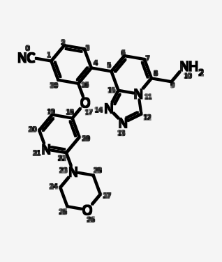 N#Cc1ccc(-c2ccc(CN)n3cnnc23)c(Oc2ccnc(N3CCOCC3)c2)c1